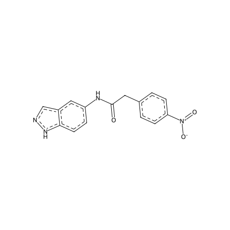 O=C(Cc1ccc([N+](=O)[O-])cc1)Nc1ccc2[nH]ncc2c1